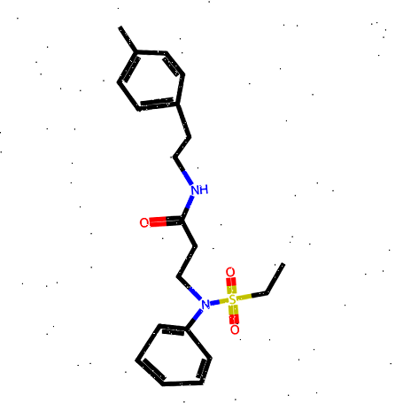 CCS(=O)(=O)N(CCC(=O)N[CH]Cc1ccc(C)cc1)c1ccccc1